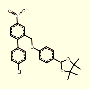 CC1(C)OB(c2ccc(OCc3cc([N+](=O)[O-])ccc3-c3ccc(Cl)cc3)cc2)OC1(C)C